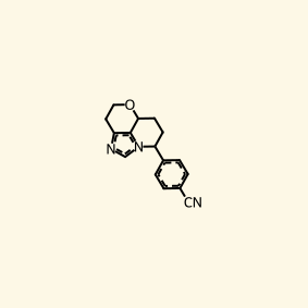 N#Cc1ccc(C2CCC3OCCc4ncn2c43)cc1